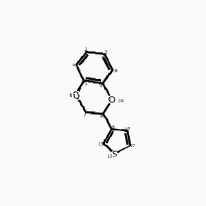 [c]1cccc2c1OCC(c1ccsc1)O2